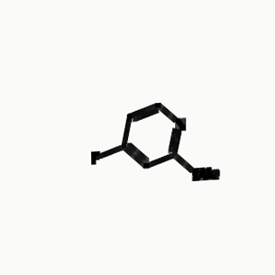 CSc1cc(F)ccn1